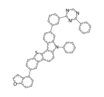 c1ccc(-c2ncnc(-c3cccc(-c4ccc5c6c7sc8ccc(-c9cccc%10occc9%10)cc8c7ccc6n(-c6ccccc6)c5c4)c3)n2)cc1